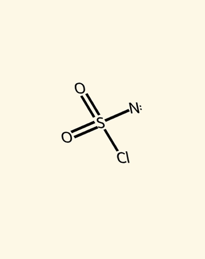 [N]S(=O)(=O)Cl